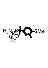 CCOP(N)(=O)OC(C)(C)c1ccc(SC)c(C)c1